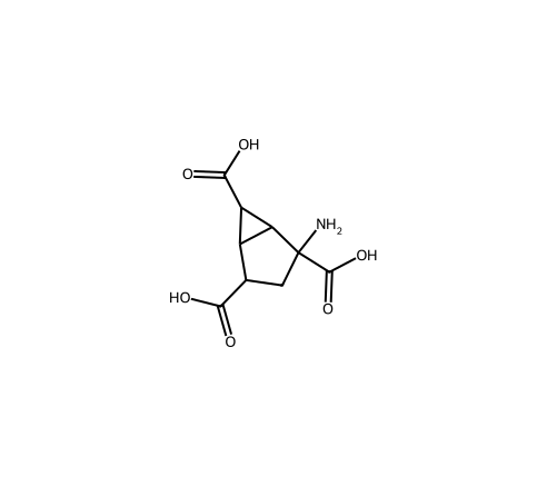 NC1(C(=O)O)CC(C(=O)O)C2C(C(=O)O)C21